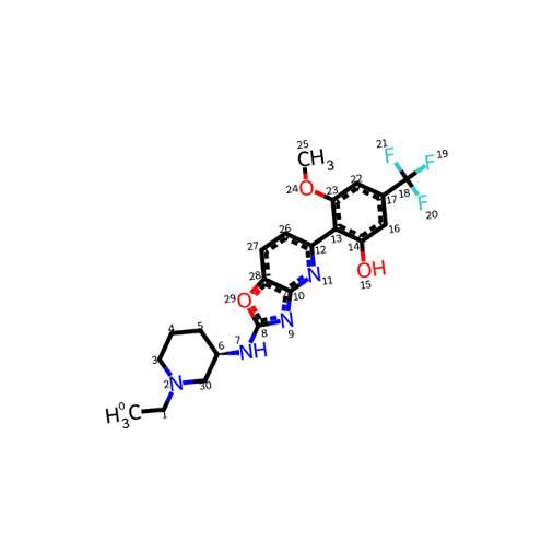 CCN1CCC[C@@H](Nc2nc3nc(-c4c(O)cc(C(F)(F)F)cc4OC)ccc3o2)C1